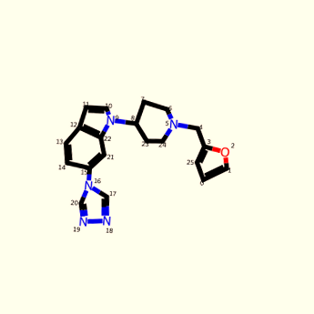 c1coc(CN2CCC(n3ccc4ccc(-n5cnnc5)cc43)CC2)c1